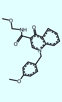 COCNC(=O)c1cn(Cc2ccc(OC)cc2)c2ccccc2c1=O